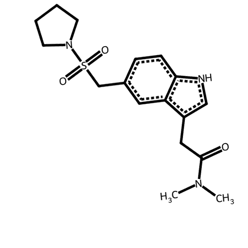 CN(C)C(=O)Cc1c[nH]c2ccc(CS(=O)(=O)N3CCCC3)cc12